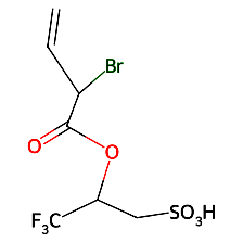 C=CC(Br)C(=O)OC(CS(=O)(=O)O)C(F)(F)F